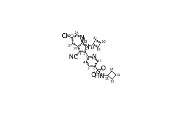 N#Cc1c(-c2ccc(S(=O)(=O)NC3CCC3)cn2)n(C2=CC=C2)c2ncc(Cl)cc12